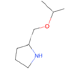 CC(C)OCC1CCCN1